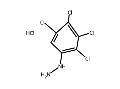 Cl.NNc1cc(Cl)c(Cl)c(Cl)c1Cl